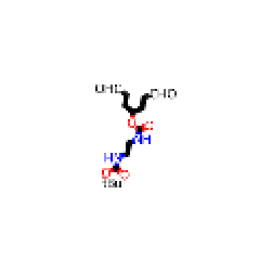 CC(C)(C)OC(=O)NCCNC(=O)OC(CCC=O)CCC=O